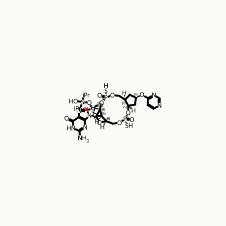 CC(C)[Si](O)(O[Si](O[C@H]1[C@H]2O[P@](=O)(S)OC[C@H]3C[C@@H](Oc4ccncn4)C[C@@H]3O[P@@](=O)(S)OC[C@H]1O[C@H]2n1nnc2c(=O)[nH]c(N)nc21)(C(C)C)C(C)C)C(C)C